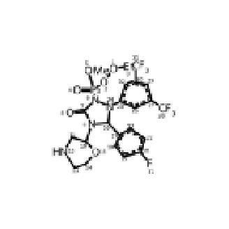 CCOOP(=O)(OC)N1C(=O)N(C2CNCCO2)C(c2ccc(F)cc2)N1c1cc(C(F)(F)F)cc(C(F)(F)F)c1